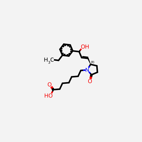 CCc1cccc(C(O)C=C[C@H]2CCC(=O)N2CCCCCCC(=O)O)c1